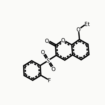 CCOc1cccc2cc(S(=O)(=O)c3ccccc3F)c(=O)oc12